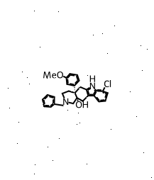 COc1cccc([C@@]23CCN(Cc4ccccc4)C[C@@]2(O)Cc2c([nH]c4c(Cl)cccc24)C3)c1